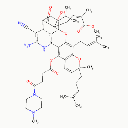 COC(=O)/C(C)=C\CC1(O)C(=O)C2CC(C(C)C)C13Oc1c(CC=C(C)C)c4c(c(OC(=O)CCC(=O)N5CCN(C)CC5)c1C1=C3C2C(C#N)=C(N)N1)C=CC(C)(CCC=C(C)C)O4